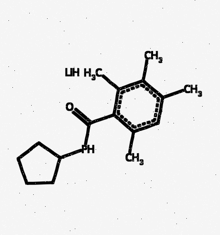 Cc1cc(C)c(C(=O)P[C]2CCCC2)c(C)c1C.[LiH]